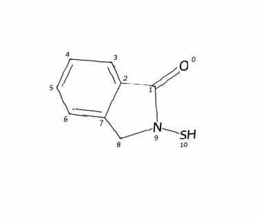 O=C1c2ccccc2CN1S